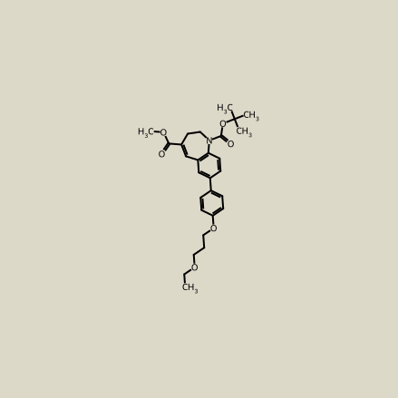 CCOCCCOc1ccc(-c2ccc3c(c2)C=C(C(=O)OC)CCN3C(=O)OC(C)(C)C)cc1